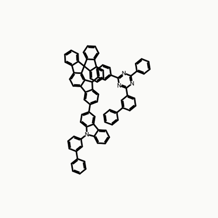 c1ccc(-c2cccc(-c3nc(-c4ccccc4)nc(-c4cccc(C5c6ccc(-c7ccc8c(c7)c7ccccc7n8-c7cccc(-c8ccccc8)c7)cc6-c6ccc7c(c65)C5(c6ccccc6-c6ccccc65)c5ccccc5-7)c4)n3)c2)cc1